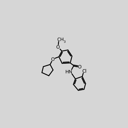 COc1ccc(C(=O)Nc2ccccc2Cl)cc1OC1CCCC1